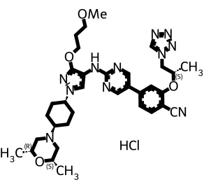 COCCCOc1nn([C@H]2CC[C@H](N3C[C@@H](C)O[C@@H](C)C3)CC2)cc1Nc1ncc(-c2ccc(C#N)c(O[C@@H](C)Cn3cnnn3)c2)cn1.Cl